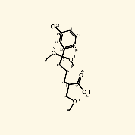 COCC(CCCC(OC)(OC)c1cc(Cl)ccn1)C(=O)O